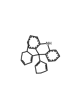 CC1CC=CC=C1C1(C2=CCCC=C2)c2ccccc2Nc2ccccc21